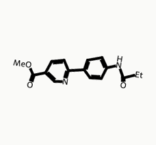 CCC(=O)Nc1ccc(-c2ccc(C(=O)OC)cn2)cc1